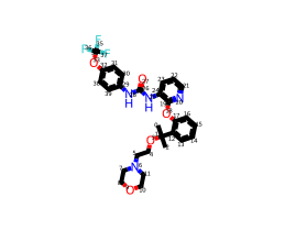 CC(C)(OCCN1CCOCC1)c1ccccc1Oc1ncccc1NC(=O)Nc1ccc(OC(F)(F)F)cc1